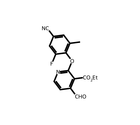 CCOC(=O)c1c(C=O)ccnc1Oc1c(C)cc(C#N)cc1F